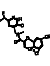 CN(Cc1cc(C(F)F)n[nH]c1=O)C(=O)/C(=C/C(F)(F)F)Oc1cc(Cl)cc(C#N)c1